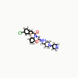 O=C(CN(C(=O)c1cc2ccc(Cl)cc2s1)c1ccccc1)NCC1CCN(c2ccncc2)CC1